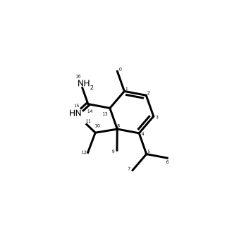 CC1=CC=C(C(C)C)C(C)(C(C)C)C1C(=N)N